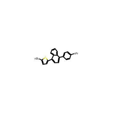 CCCCc1ccc(-c2ccc(-c3ccc(CCC)cc3)c3ccccc23)s1